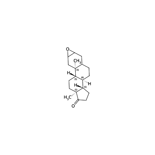 C[C@]12CC3OC3CC1CC[C@@H]1[C@@H]2CC[C@]2(C)C(=O)CC[C@@H]12